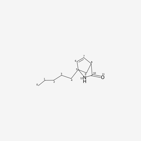 CCCCCC12C=CC(C1)C(=O)N2